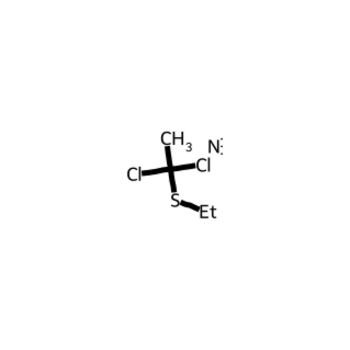 CCSC(C)(Cl)Cl.[N]